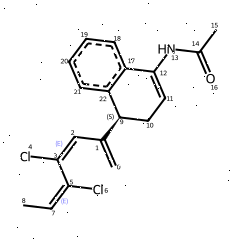 C=C(/C=C(Cl)\C(Cl)=C/C)[C@@H]1CC=C(NC(C)=O)c2ccccc21